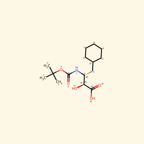 CC(C)(C)OC(=O)N[C@H](CC1CCCCC1)[C@H](O)C(=O)O